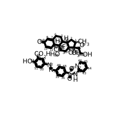 C[C@@H]1C[C@H]2[C@@H]3CCC4=CC(=O)C=C[C@]4(C)[C@@]3(F)[C@@H](O)C[C@]2(C)[C@@]1(O)C(=O)CO.O=C(O)c1cc(N=Nc2ccc(S(=O)(=O)Nc3ccccn3)cc2)ccc1O